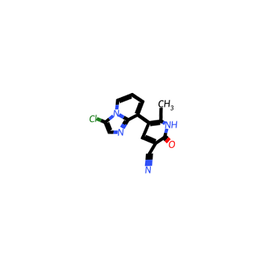 Cc1[nH]c(=O)c(C#N)cc1-c1cccn2c(Cl)cnc12